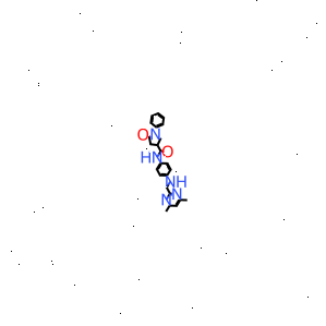 Cc1cc(C)nc(CNc2ccc(NC(=O)C3CC(=O)N(c4ccccc4)C3)cc2)n1